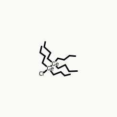 CCC[CH2][Ge]([Cl])([CH2]CCC)[Ge]([CH2]CCC)([CH2]CCC)[CH2]CCC